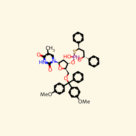 COc1ccc(C(OC[C@H]2O[C@@H](n3cc(C)c(=O)[nH]c3=O)C[C@@H]2O[PH]2(O)O[C@@H](c3ccccc3)C[C@H](c3ccccc3)S2)(c2ccccc2)c2ccc(OC)cc2)cc1